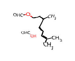 CC(C)=CCCC(C)CCOC=O.O=CO